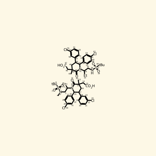 CCC(CN(C)S(=O)(=O)C(C)(C)C)N1C(=O)C(C)(CC(=O)O)CC(c2cccc(Cl)c2)C1c1ccc(Cl)cc1.CCC(CNS(=O)(=O)C(C)(C)C)N1C(=O)C(C)(CC(=O)O)CC(c2cccc(Cl)c2)C1c1ccc(Cl)cc1